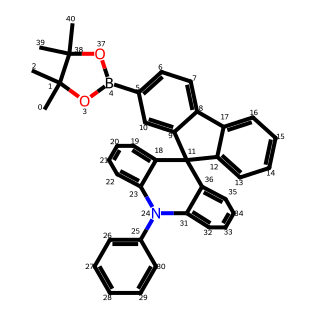 CC1(C)OB(c2ccc3c(c2)C2(c4ccccc4-3)c3ccccc3N(c3ccccc3)c3ccccc32)OC1(C)C